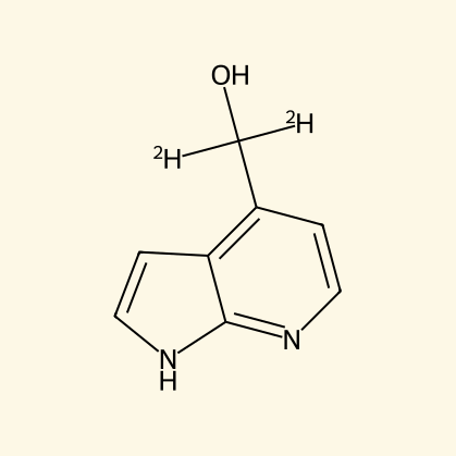 [2H]C([2H])(O)c1ccnc2[nH]ccc12